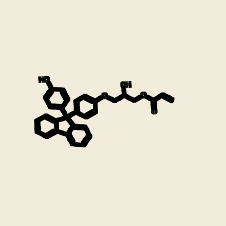 C=CC(=O)OCC(O)COc1ccc(C2(c3ccc(O)cc3)c3ccccc3-c3ccccc32)cc1